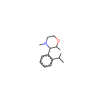 CC(C)c1ccccc1C1C(C)OCCN1C